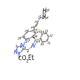 CCOC(=O)c1ncn2c1CN=C(c1ccccc1F)c1cc(C#CC[SiH](C)C)ccc1-2